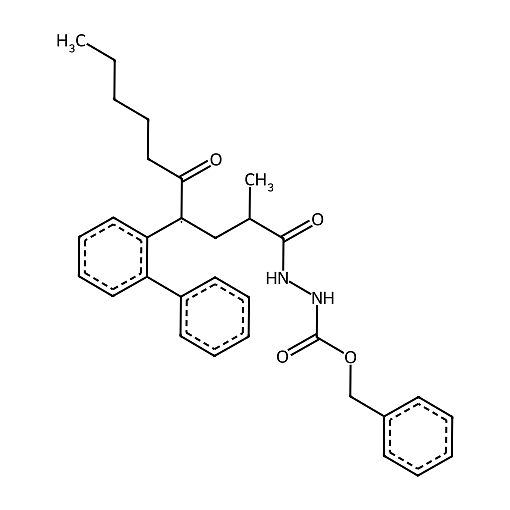 CCCCCC(=O)[C](CC(C)C(=O)NNC(=O)OCc1ccccc1)c1ccccc1-c1ccccc1